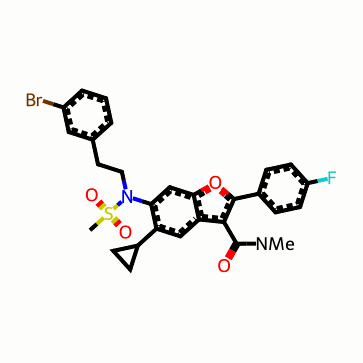 CNC(=O)c1c(-c2ccc(F)cc2)oc2cc(N(CCc3cccc(Br)c3)S(C)(=O)=O)c(C3CC3)cc12